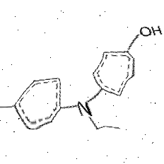 CCN(c1ccc(C)cc1)c1ccc(O)cc1